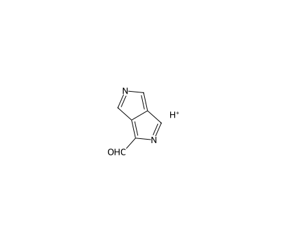 O=CC1=C2C=NC=C2C=N1.[H+]